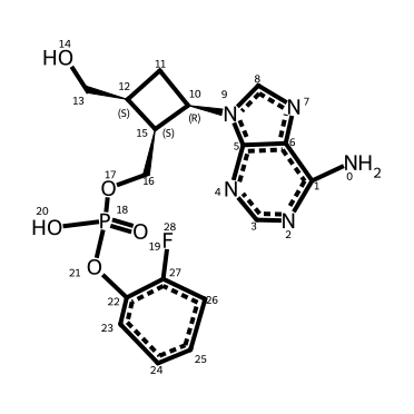 Nc1ncnc2c1ncn2[C@@H]1C[C@H](CO)[C@@H]1COP(=O)(O)Oc1ccccc1F